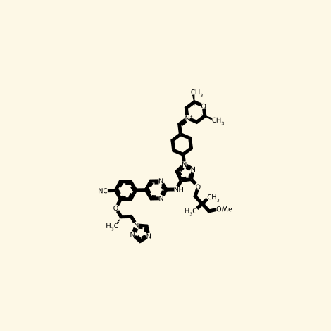 COCC(C)(C)COc1nn(C2CCC(/C=[N+]3/C[C@@H](C)O[C@@H](C)C3)CC2)cc1Nc1ncc(-c2ccc(C#N)c(O[C@@H](C)Cn3cncn3)c2)cn1